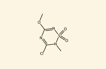 COC1=NS(=O)(=O)N(C)C(Cl)=N1